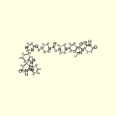 Cc1nn(C2CCC(=O)NC2=O)c(=O)c2ccc(N3CCN(CC(=O)N4CCC(COc5ccnc(-c6cccc(CC7(C8(C#N)C=CC=CC8)C=CC(=O)NN7)c6)n5)CC4)CC3)cc12